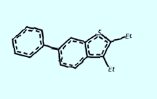 CCc1sc2cc(-c3ccccc3)ccc2c1CC